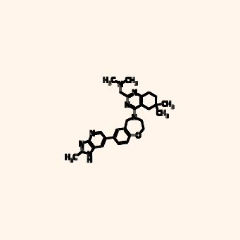 Cc1nc2ncc(-c3ccc4c(c3)CN(c3nc(CN(C)C)nc5c3CC(C)(C)CC5)CCO4)cc2[nH]1